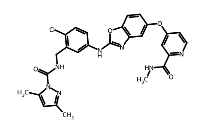 CNC(=O)c1cc(Oc2ccc3oc(Nc4ccc(Cl)c(CNC(=O)n5nc(C)cc5C)c4)nc3c2)ccn1